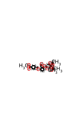 COC(=O)c1ccc(COc2cccc(O[C@@H](CCOC(C)=O)O[C@@H](C)COC(C)=O)c2C=O)cc1